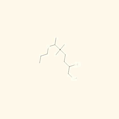 CCCOC(C)C(C)(C)CCC(O)CO